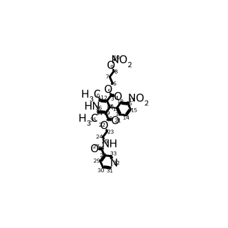 CC1=C(C(=O)OCCCO[N+](=O)[O-])[C@@H](c2cccc([N+](=O)[O-])c2)C(C(=O)OCCNC(=O)c2cccnc2)=C(C)N1